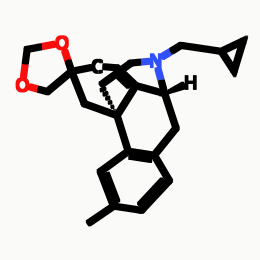 Cc1ccc2c(c1)[C@]13CCN(CC4CC4)[C@H](C2)C1=CCC1(COCO1)C3